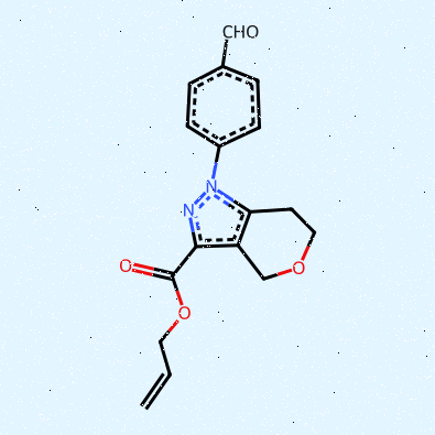 C=CCOC(=O)c1nn(-c2ccc(C=O)cc2)c2c1COCC2